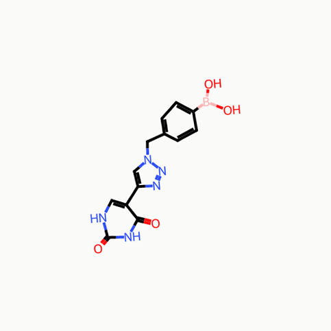 O=c1[nH]cc(-c2cn(Cc3ccc(B(O)O)cc3)nn2)c(=O)[nH]1